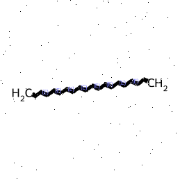 C=[C]/C=C/C=C/C=C/C=C/C=C/C=C/C=C/C=C/C=C